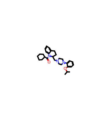 CC(C)Oc1ccccc1N1CCN(CC2CCc3ccccc3N2C(=O)C2CCCCC2)CC1